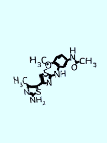 COc1ccc(NC(C)=O)cc1Nc1nc(-c2sc(N)nc2C)cs1